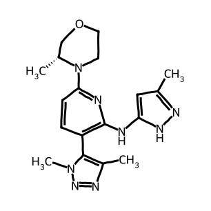 Cc1cc(Nc2nc(N3CCOC[C@H]3C)ccc2-c2c(C)nnn2C)[nH]n1